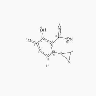 Cc1cc(=O)c(O)c(C(=O)O)n1C1CC1